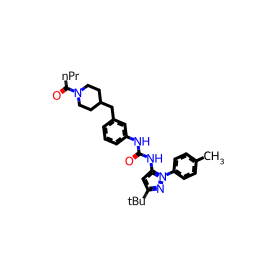 CCCC(=O)N1CCC(Cc2cccc(NC(=O)Nc3cc(C(C)(C)C)nn3-c3ccc(C)cc3)c2)CC1